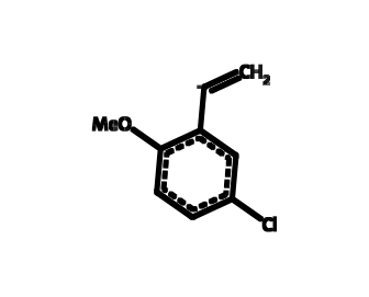 C=[C]c1cc(Cl)ccc1OC